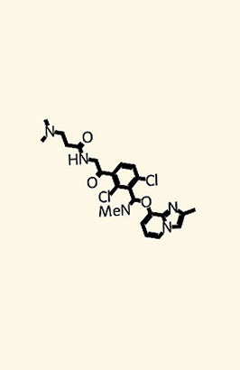 CNC(Oc1cccn2cc(C)nc12)c1c(Cl)ccc(C(=O)CNC(=O)CCN(C)C)c1Cl